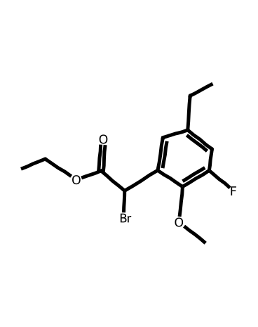 CCOC(=O)C(Br)c1cc(CC)cc(F)c1OC